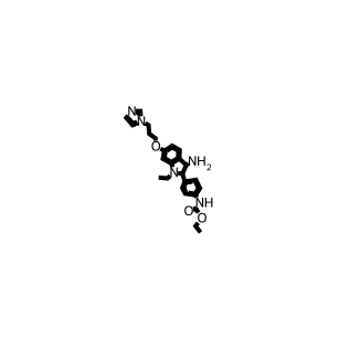 CCOC(=O)Nc1ccc(C2C(N)c3ccc(OCCCn4ccnc4)cc3N2CC)cc1